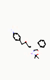 CC1(C)O[C@H](c2ccccc2)[C@@H](/C=C/C(=O)Cc2ccc(NP)cc2)N1P